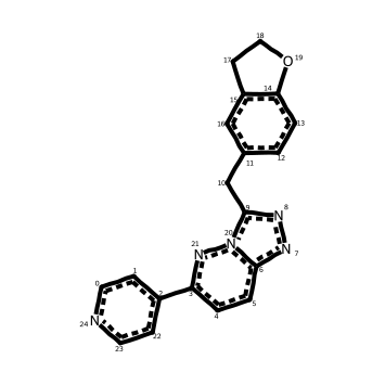 c1cc(-c2ccc3nnc(Cc4ccc5c(c4)CCO5)n3n2)ccn1